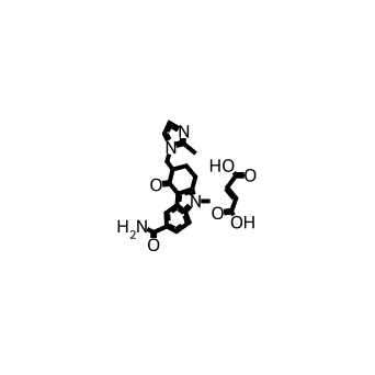 Cc1nccn1CC1CCc2c(c3cc(C(N)=O)ccc3n2C)C1=O.O=C(O)C=CC(=O)O